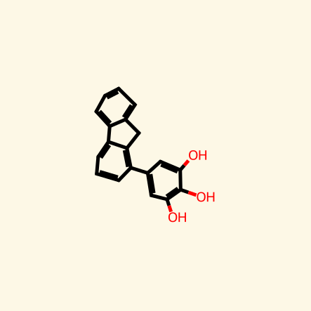 Oc1cc(-c2cccc3c2Cc2ccccc2-3)cc(O)c1O